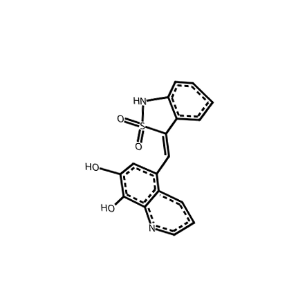 O=S1(=O)Nc2ccccc2C1=Cc1cc(O)c(O)c2ncccc12